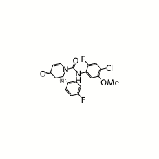 COc1cc(NC(=O)N2C=CC(=O)C[C@H]2c2ccc(F)cc2)c(F)cc1Cl